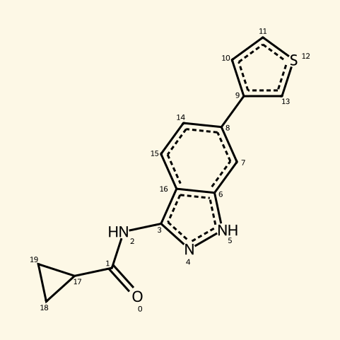 O=C(Nc1n[nH]c2cc(-c3ccsc3)ccc12)C1CC1